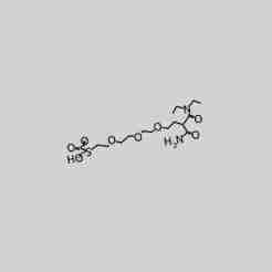 CCN(CC)C(=O)C(CCOCCOCCOCCSS(=O)(=O)O)C(N)=O